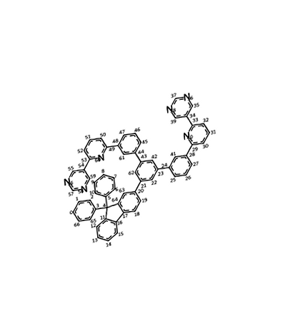 c1ccc(C2(c3ccccc3)c3ccccc3-c3ccc(-c4cc(-c5cccc(-c6cccc(-c7cncnc7)n6)c5)cc(-c5cccc(-c6cccc(-c7cncnc7)n6)c5)c4)cc32)cc1